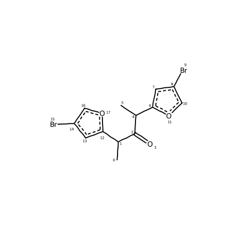 CC(C(=O)C(C)c1cc(Br)co1)c1cc(Br)co1